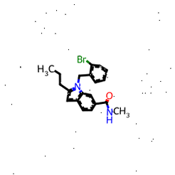 CCCc1cc2ccc(C(=O)NC)cc2n1Cc1ccccc1Br